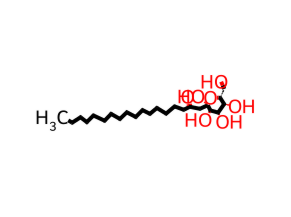 CCCCCCCCCCCCCCCCC(=O)C[C@@]1(O)O[C@H](CO)[C@H](O)[C@H](O)[C@H]1O